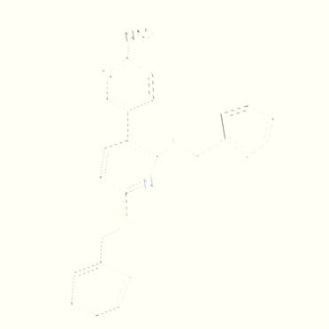 CNc1ccc(-c2ccc(OCc3ccccc3)nc2OCc2ccccc2)cn1